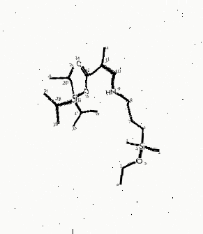 CCO[Si](C)(C)CCCNCC(C)C(=O)O[Si](C(C)C)(C(C)C)C(C)C